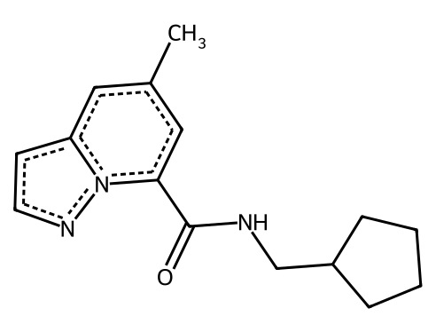 Cc1cc(C(=O)NCC2CCCC2)n2nccc2c1